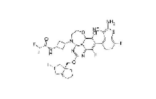 N#Cc1c(N)sc2c(F)ccc(-c3c(Cl)c4c5c(nc(OC[C@@]67CCCN6C[C@H](F)C7)nc5c3F)N(C3CC(NC(=O)C(F)F)C3)CCO4)c12